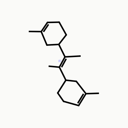 CC1=CCCC(/C(C)=C(\C)C2CCC=C(C)C2)C1